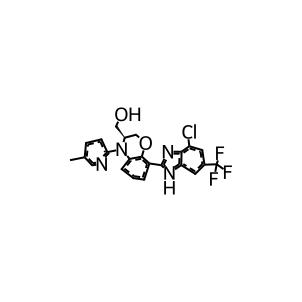 Cc1ccc(N2c3cccc(-c4nc5c(Cl)cc(C(F)(F)F)cc5[nH]4)c3OC[C@@H]2CO)nc1